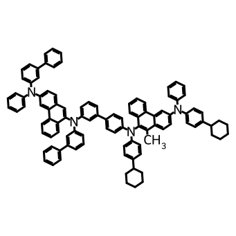 Cc1c(N(c2ccc(-c3cccc(N(c4cccc(-c5ccccc5)c4)c4cc5ccc(N(c6ccccc6)c6cccc(-c7ccccc7)c6)cc5c5ccccc45)c3)cc2)c2ccc(C3CCCCC3)cc2)c2ccccc2c2cc(N(c3ccccc3)c3ccc(C4CCCCC4)cc3)ccc12